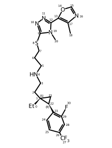 CC[C@@]1(CCNCCCSc2nnc(-c3ocnc3C)n2C)C[C@H]1c1ccc(C(F)(F)F)cc1F